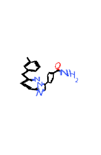 Cc1cccc(Cc2ccc3ncc(-c4ccc(C(N)=O)cc4)n3n2)c1